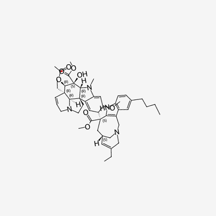 CCCCc1ccc2[nH]c3c(c2c1)CN1CC(CC)=C[C@@H](C1)C[C@]3(C(=O)OC)C1C=C2C(=CC1OC)N(C)[C@H]1[C@@](O)(C(=O)OC)[C@H](OC(C)=O)[C@]3(CC)C=CCN4CC[C@]21[C@@H]43